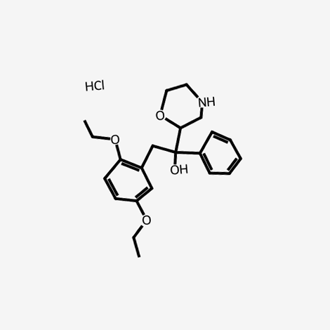 CCOc1ccc(OCC)c(CC(O)(c2ccccc2)C2CNCCO2)c1.Cl